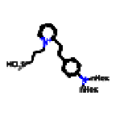 CCCCCCN(CCCCCC)c1ccc(C=Cc2cccc[n+]2CCCS(=O)(=O)O)cc1